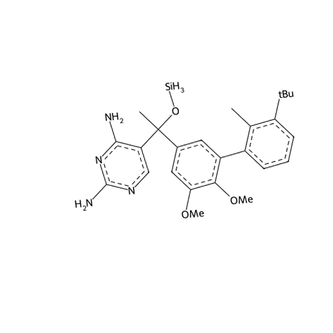 COc1cc(C(C)(O[SiH3])c2cnc(N)nc2N)cc(-c2cccc(C(C)(C)C)c2C)c1OC